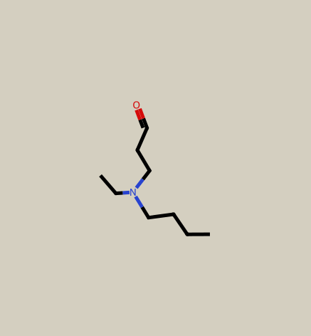 CCCCN(CC)CCC=O